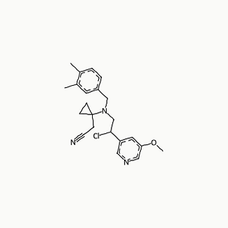 COc1cncc(C(Cl)CN(Cc2ccc(C)c(C)c2)C2(CC#N)CC2)c1